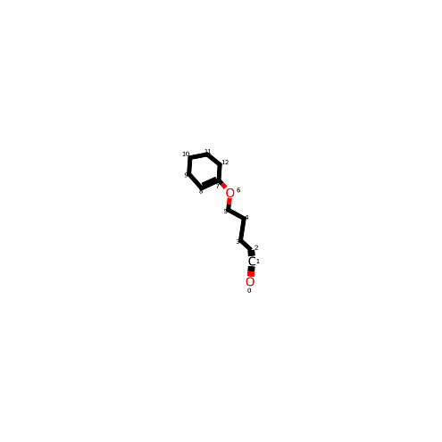 O=C=CCCCOC1=CCCCC1